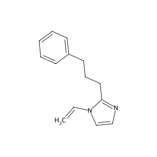 C=Cn1ccnc1CCCc1ccccc1